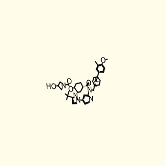 COc1ccc(C23CCC(CN(c4cc(-n5ccc(C(C)(C)C)n5)ccn4)C(=O)[C@H]4CC[C@H](OC(=O)N5CC(O)C5)CC4)(CC2)CC3)cc1C